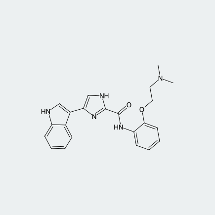 CN(C)CCOc1ccccc1NC(=O)c1nc(-c2c[nH]c3ccccc23)c[nH]1